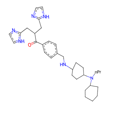 CCCN(C1CCCCC1)C1CCC(NCc2ccc(C(=O)C(Cc3ncc[nH]3)Cc3ncc[nH]3)cc2)CC1